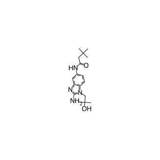 CC(C)(C)CC(=O)Nc1ccc2c(c1)nc(N)n2CC(C)(C)O